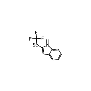 FC(F)(F)[Se]c1cc2ccccc2[nH]1